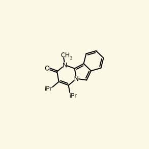 CC(C)c1c(C(C)C)n2cc3ccccc3c2n(C)c1=O